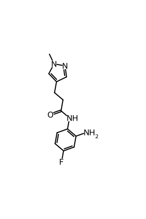 Cn1cc(CCC(=O)Nc2ccc(F)cc2N)cn1